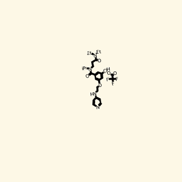 CCN(CC)C(=O)CCN(C(=O)c1cc(Cl)cc(OCCNc2ccncc2)c1)C(C)C.O=C(O)C(F)(F)F